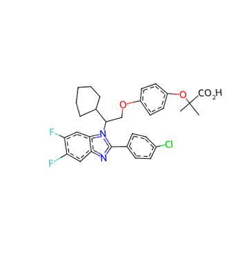 CC(C)(Oc1ccc(OCC(C2CCCCC2)n2c(-c3ccc(Cl)cc3)nc3cc(F)c(F)cc32)cc1)C(=O)O